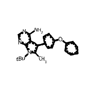 Cc1c(-c2ccc(Oc3ccccc3)cc2)c2c(N)ncnc2n1C(C)(C)C